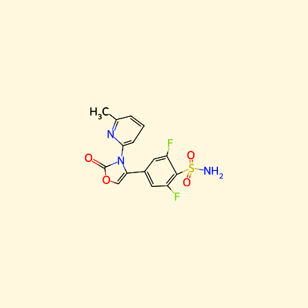 Cc1cccc(-n2c(-c3cc(F)c(S(N)(=O)=O)c(F)c3)coc2=O)n1